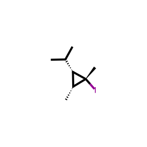 CC(C)[C@H]1[C@@H](C)[C@@]1(C)I